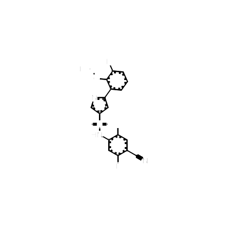 COc1c(F)cccc1-c1cc(S(=O)(=O)Nc2cc(F)c(C#N)cc2F)c[nH]1